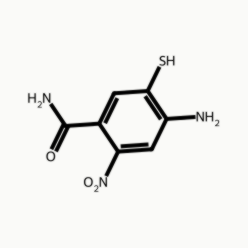 NC(=O)c1cc(S)c(N)cc1[N+](=O)[O-]